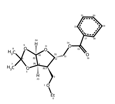 CCOC[C@H]1[C@H]2OC(C)(C)O[C@H]2O[C@@H]1COC(=O)c1ccccc1